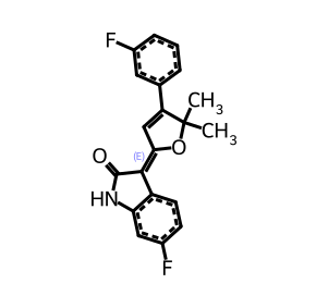 CC1(C)O/C(=C2/C(=O)Nc3cc(F)ccc32)C=C1c1cccc(F)c1